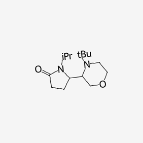 CC(C)N1C(=O)CCC1C1COCCN1C(C)(C)C